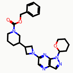 O=C(OCc1ccccc1)N1CCCC(C2CN(c3cnc4cnn(C5CCCCO5)c4n3)C2)C1